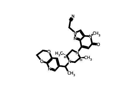 CC(c1cnc2c(c1)OCCO2)N1C[C@H](C)N(c2cc(=O)n(C)c3cn(CC#N)nc23)C[C@H]1C